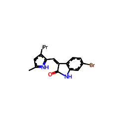 Cc1cc(C(C)C)c(/C=C2\C(=O)Nc3cc(Br)ccc32)[nH]1